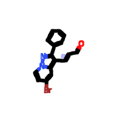 O=C/C=C/c1c(-c2ccccc2)nn2ccc(Br)cc12